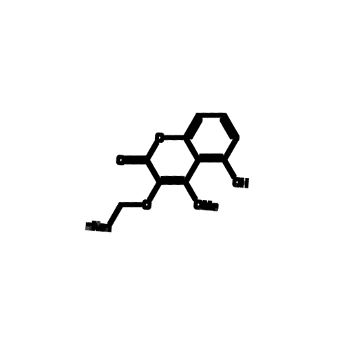 CCCCCCCCCCOc1c(OC)c2c(O)cccc2oc1=O